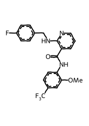 COc1cc(C(F)(F)F)ccc1NC(=O)c1cccnc1NCc1ccc(F)cc1